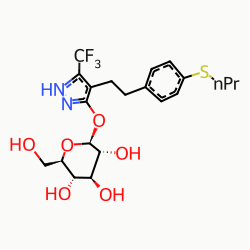 CCCSc1ccc(CCc2c(O[C@@H]3O[C@H](CO)[C@@H](O)[C@H](O)[C@H]3O)n[nH]c2C(F)(F)F)cc1